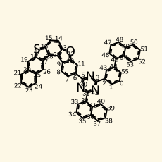 c1cc(-c2nc(-c3ccc4c(c3)oc3ccc5sc6cc7ccccc7cc6c5c34)nc(-c3cccc4ccccc34)n2)cc(-c2cccc3ccccc23)c1